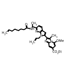 C=CCCCCCC(=O)NC(C)c1ccc2cc(-c3nc4cc(C(=O)OCC)cc(OC)n4c3C)n(CC=C)c2n1